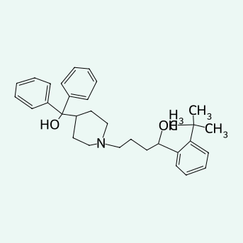 CC(C)(C)c1ccccc1C(O)CCCN1CCC(C(O)(c2ccccc2)c2ccccc2)CC1